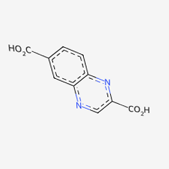 O=C(O)c1ccc2nc(C(=O)O)cnc2c1